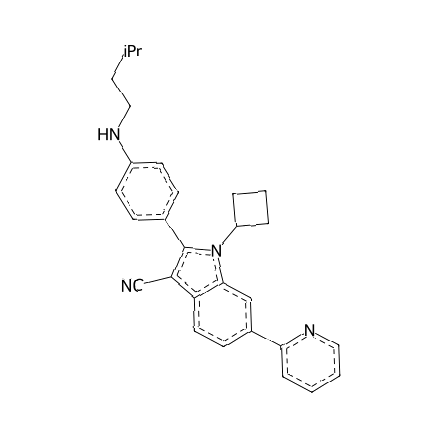 CC(C)CCNc1ccc(-c2c(C#N)c3ccc(-c4ccccn4)cc3n2C2CCC2)cc1